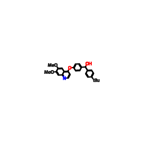 COc1cc2nccc(Oc3ccc(C(O)c4ccc(C(C)(C)C)cc4)cc3)c2cc1OC